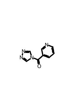 O=C(c1cccnc1)n1cnnc1